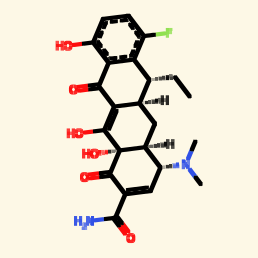 CC[C@H]1c2c(F)ccc(O)c2C(=O)C2=C(O)[C@]3(O)C(=O)C(C(N)=O)=C[C@@H](N(C)C)[C@@H]3C[C@@H]21